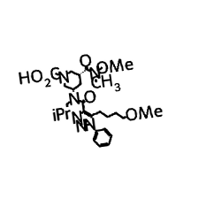 COCCCCc1c(C(=O)N(CC(C)C)[C@H]2C[C@@H](C(=O)N(C)OC)CN(C(=O)O)C2)nnn1-c1ccccc1